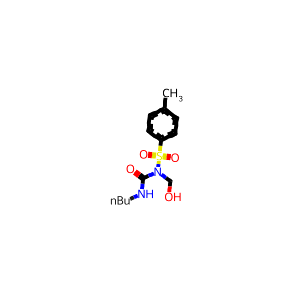 CCCCNC(=O)N(CO)S(=O)(=O)c1ccc(C)cc1